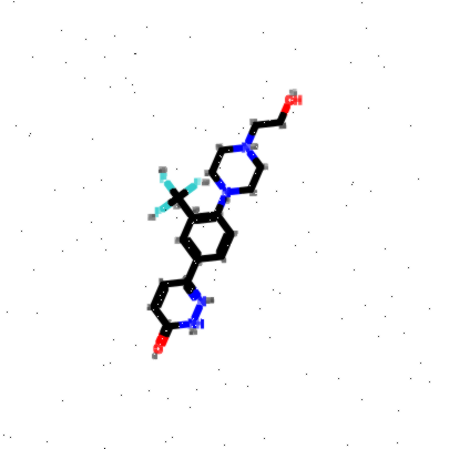 O=c1ccc(-c2ccc(N3CCN(CCO)CC3)c(C(F)(F)F)c2)n[nH]1